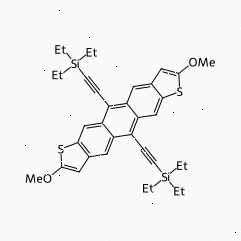 CC[Si](C#Cc1c2cc3cc(OC)sc3cc2c(C#C[Si](CC)(CC)CC)c2cc3cc(OC)sc3cc12)(CC)CC